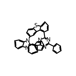 c1ccc(-c2nc(-c3ccccc3)nc(-c3cccc4sc5ccc(-n6c(-c7ccccc7)nc7ccccc76)cc5c34)n2)cc1